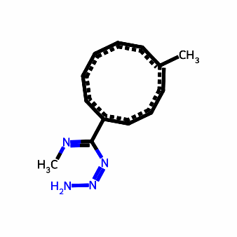 C/N=C(\N=N/N)c1cccccc(C)ccc1